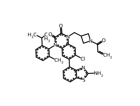 C=CC(=O)N1CC(Cn2c(=O)c(=O)n(-c3c(C)cccc3C(C)C)c3cc(-c4cccc5sc(N)nc45)c(Cl)cc32)C1